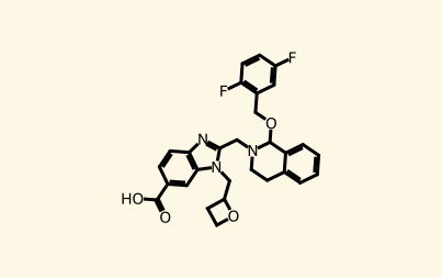 O=C(O)c1ccc2nc(CN3CCc4ccccc4C3OCc3cc(F)ccc3F)n(CC3CCO3)c2c1